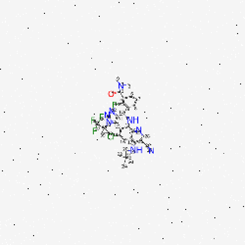 CN(C)C(=O)c1cccc([C@H](Nc2cc(Cl)cc3c(NCC(C)(C)C)c(C#N)cnc23)c2cn(C3(C(F)(F)F)CC3)nn2)c1F